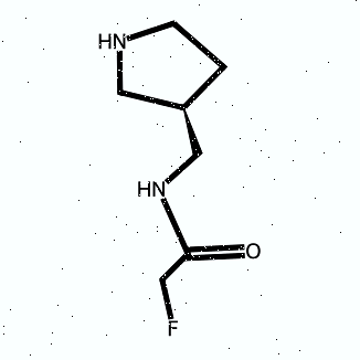 O=C(CF)NC[C@@H]1CCNC1